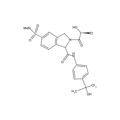 CC[C@H](O)C(=O)N1Cc2cc(S(=O)(=O)NC)ccc2C1C(=O)Nc1ccc(C(C)(O)C(F)(F)F)cc1